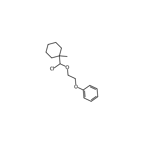 CC1(C(Cl)OCCOc2ccccc2)CCCCC1